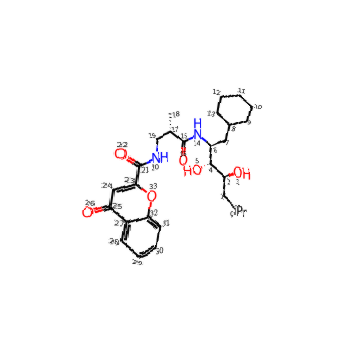 CC(C)C[C@H](O)[C@H](O)[C@H](CC1CCCCC1)NC(=O)[C@@H](C)CNC(=O)c1cc(=O)c2ccccc2o1